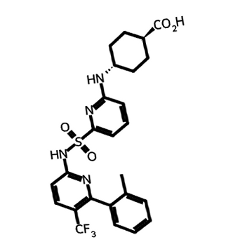 Cc1ccccc1-c1nc(NS(=O)(=O)c2cccc(N[C@H]3CC[C@H](C(=O)O)CC3)n2)ccc1C(F)(F)F